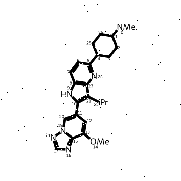 CNC1CCC(c2ccc3[nH]c(-c4cc(OC)c5ncnn5c4)c(C(C)C)c3n2)CC1